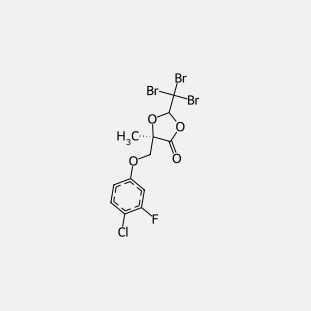 C[C@]1(COc2ccc(Cl)c(F)c2)OC(C(Br)(Br)Br)OC1=O